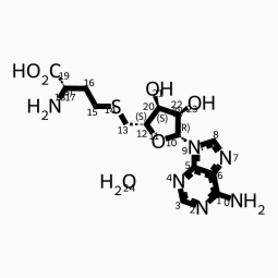 Nc1ncnc2c1ncn2[C@@H]1O[C@H](CSCC[C@H](N)C(=O)O)[C@@H](O)[C@H]1O.O